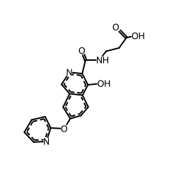 O=C(O)CCNC(=O)c1ncc2cc(Oc3ccccn3)ccc2c1O